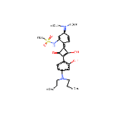 CCCCCCCCCCCCN(CCCCCCCCCCCC)c1ccc(C2=C(O)/C(=C3\C=CC(=[N+](CCCCCCCC)CCCCCCCC)C=C3NS(=O)(=O)CCCC)C2=O)c(O)c1